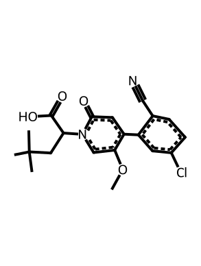 COc1cn(C(CC(C)(C)C)C(=O)O)c(=O)cc1-c1cc(Cl)ccc1C#N